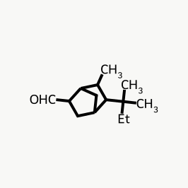 CCC(C)(C)C1C2CC(C=O)C(C2)C1C